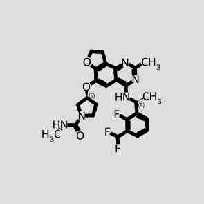 CNC(=O)N1CC[C@H](Oc2cc3c(N[C@H](C)c4cccc(C(F)F)c4F)nc(C)nc3c3c2OCC3)C1